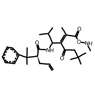 C=CC[C@H](C(=O)NC(C(C(=O)CC(C)(C)C)=C(C)C(=O)ONC)C(C)C)C(C)(C)c1ccccc1